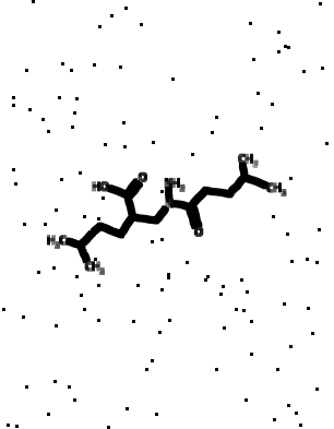 CC(C)CCC(=O)N(N)CC(CCC(C)C)C(=O)O